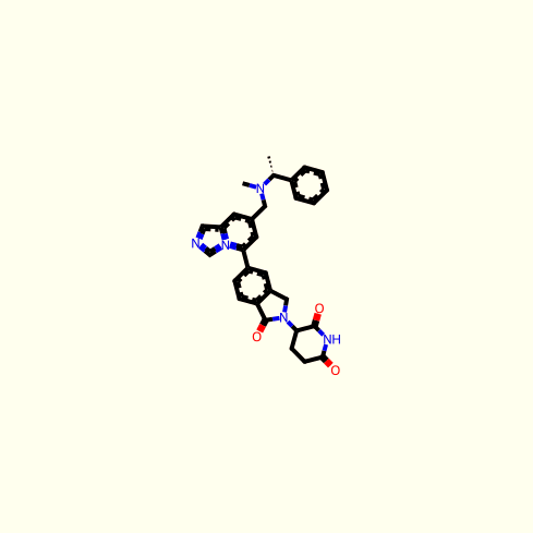 C[C@H](c1ccccc1)N(C)Cc1cc(-c2ccc3c(c2)CN(C2CCC(=O)NC2=O)C3=O)n2cncc2c1